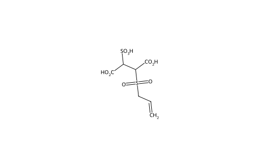 C=CCS(=O)(=O)C(C(=O)O)C(C(=O)O)S(=O)(=O)O